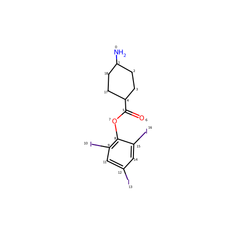 NC1CCC(C(=O)Oc2c(I)cc(I)cc2I)CC1